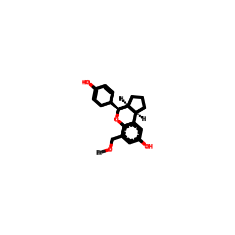 CCOCc1cc(O)cc2c1O[C@@H](C1C=CC(O)=CC1)[C@H]1CCC[C@@H]21